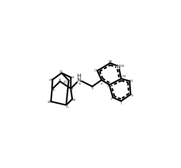 c1ccc2c(CNC34CC5CC(CC(C5)C3)C4)ccnc2c1